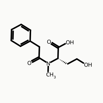 CN(C(=O)Cc1ccccc1)[C@@H](CCO)C(=O)O